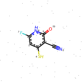 N#Cc1c(S)cc(F)[nH]c1=O